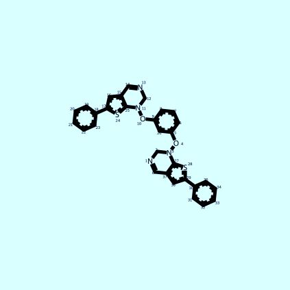 C1=NCN(Oc2cccc(ON3CN=Cc4cc(-c5ccccc5)sc43)c2)c2sc(-c3ccccc3)cc21